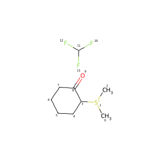 C[S+](C)C1CCCCC1=O.FC(F)F